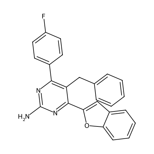 Nc1nc(-c2ccc(F)cc2)c(Cc2ccccc2)c(-c2cc3ccccc3o2)n1